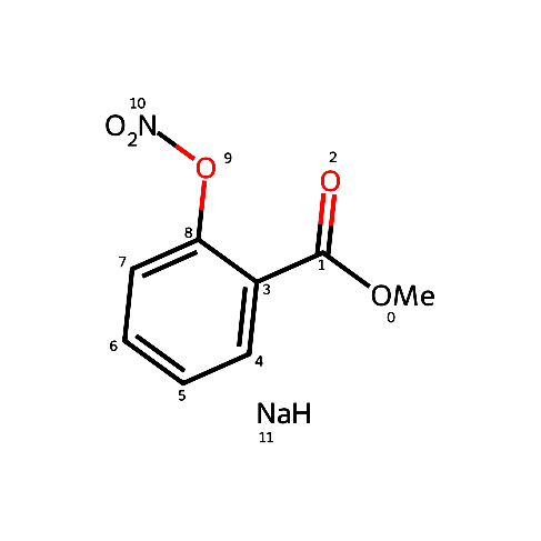 COC(=O)c1ccccc1O[N+](=O)[O-].[NaH]